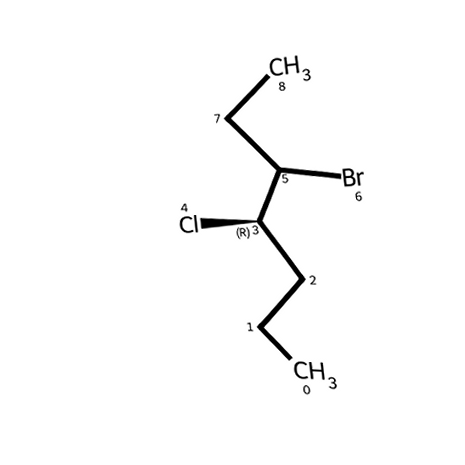 CCC[C@@H](Cl)C(Br)CC